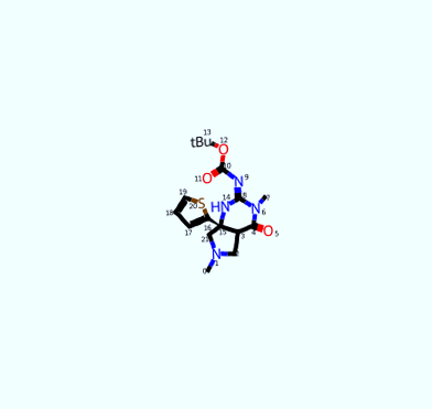 CN1CC2C(=O)N(C)/C(=N/C(=O)OC(C)(C)C)N[C@@]2(c2cccs2)C1